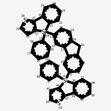 c1ccc([Si]2(c3ccc4c(c3)-c3cc([Si]5(c6ccccc6)c6ccccc6-c6sccc65)ccc3C4)c3ccccc3-c3sccc32)cc1